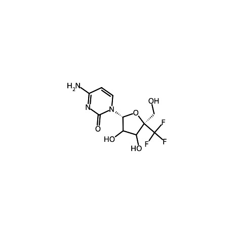 Nc1ccn([C@@H]2O[C@@](CO)(C(F)(F)F)C(O)C2O)c(=O)n1